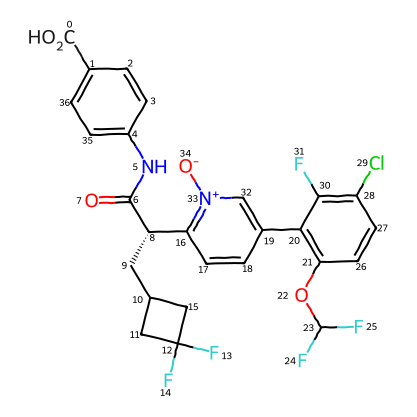 O=C(O)c1ccc(NC(=O)[C@@H](CC2CC(F)(F)C2)c2ccc(-c3c(OC(F)F)ccc(Cl)c3F)c[n+]2[O-])cc1